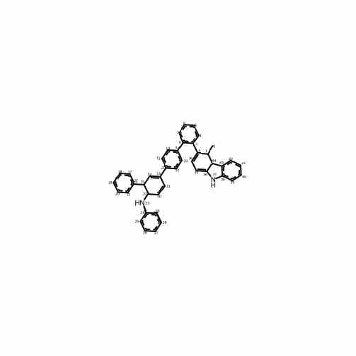 CC1C(c2ccccc2-c2ccc(C3=CC(c4ccccc4)C(Nc4ccccc4)C=C3)cc2)=CC=C2Nc3ccccc3C21